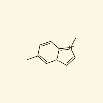 Cc1ccc2n(cc[n+]2C)c1